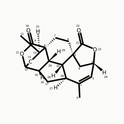 CC1=C[C@@H]2C[C@]3(CC[C@@]45C(=O)OC(C[C@H]4C)[C@H]4C[C@H]1[C@@H]3[C@H]45)C(=O)O2